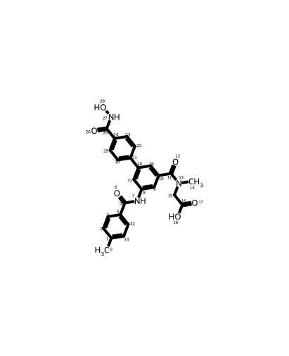 Cc1ccc(C(=O)Nc2cc(C(=O)N(C)CC(=O)O)cc(-c3ccc(C(=O)NO)cc3)c2)cc1